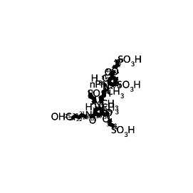 CCC\[N+](=C(C)/C=C/C=C(\C)N(CCCS(=O)(=O)O)c1cc(C(=O)NCCCCCC=O)cc(C(=O)OCCCS(=O)(=O)O)c1C)c1cc(S(=O)(=O)O)cc(C(=O)OCCCS(=O)(=O)O)c1C